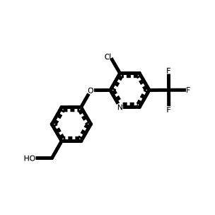 OCc1ccc(Oc2ncc(C(F)(F)F)cc2Cl)cc1